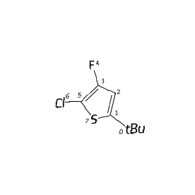 CC(C)(C)c1cc(F)c(Cl)s1